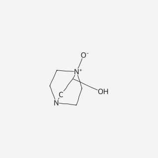 [O-][N+]12CCN(CC1)CC2O